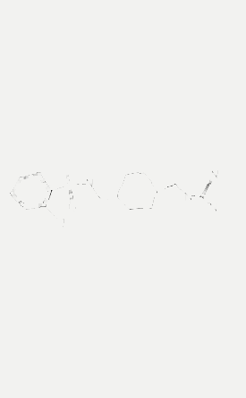 N=C(N)NC[C@H]1CC[C@H](CNS(=O)(=O)c2ccccc2C(F)(F)F)CC1